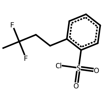 CC(F)(F)CCc1ccccc1S(=O)(=O)Cl